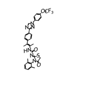 C/C(NC(=O)/N=C1\SCC(=O)N1c1c(C)cccc1C)=C(/C)c1ccc(-c2ncn(-c3ccc(OC(F)(F)F)cc3)n2)cc1